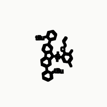 C=CCOc1c(C)cc(C)cc1[Si](C)(C)C1c2cc(-c3ccccc3C(C)(C)C)ccc2-c2ccc(-c3ccccc3C(C)(C)C)cc21